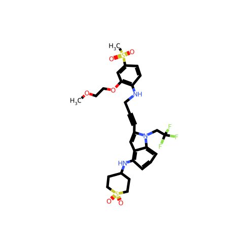 COCCOc1cc(S(C)(=O)=O)ccc1NCC#Cc1cc2c(NC3CCS(=O)(=O)CC3)cccc2n1CC(F)(F)F